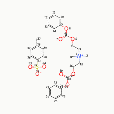 C[N+](C)(CCOC(=O)Oc1ccccc1)CCOC(=O)Oc1ccccc1.Cc1ccc(S(=O)(=O)[O-])cc1